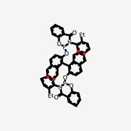 CCc1ccccc1N1C(=O)c2ccccc2OP1Oc1ccc2ccccc2c1-c1c(OP2Oc3ccccc3C(=O)N2c2ccccc2CC)ccc2ccccc12